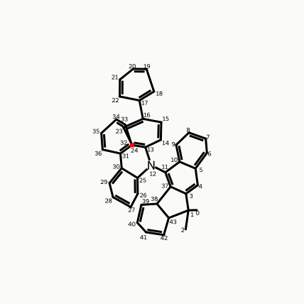 CC1(C)c2cc3ccccc3c(N(c3ccc(-c4ccccc4)cc3)c3ccccc3-c3ccccc3)c2C2C=CC=CC21